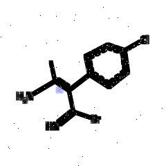 C/C(N)=C(/C(=N)Br)c1ccc(Cl)cc1